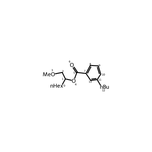 CCCCCCC(COC)OC(=O)c1cccc(CCCC)c1